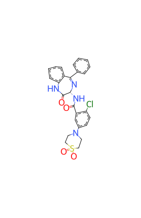 O=C(N[C@H]1N=C(c2ccccc2)c2ccccc2NC1=O)c1cc(N2CCS(=O)(=O)CC2)ccc1Cl